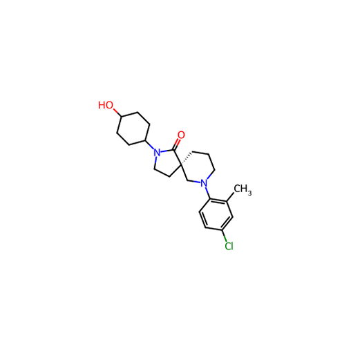 Cc1cc(Cl)ccc1N1CCC[C@@]2(CCN(C3CCC(O)CC3)C2=O)C1